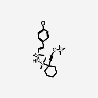 C[Si](C)(C=Cc1ccc(Cl)cc1)N[Si](C)(C)C1(C#CO[Si](C)(C)C)CCCCC1